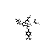 CCOC(=O)C[C@]1(CN)C[C@@H](O[Si](C)(C)C(C)(C)C)CN1C(=O)OCc1ccc([N+](=O)[O-])cc1.NC=O